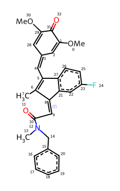 COC1=CC(=CC2=C(C)/C(=C\C(=O)N(C)Cc3ccccc3)c3cc(F)ccc32)C=C(OC)C1=O